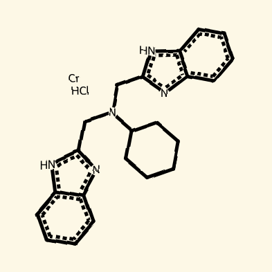 Cl.[Cr].c1ccc2[nH]c(CN(Cc3nc4ccccc4[nH]3)C3CCCCC3)nc2c1